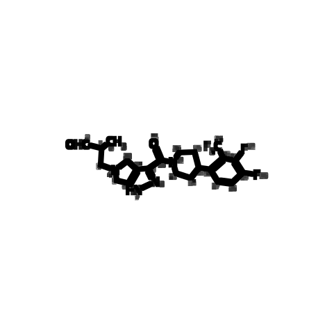 CC(C=O)CN1Cc2[nH]nc(C(=O)N3CCC(c4ccc(F)c(F)c4C(F)(F)F)CC3)c2C1